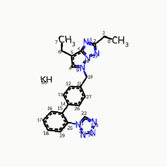 CCc1nc2c(CC)cn(Cc3ccc(-c4ccccc4-n4cnnn4)cc3)n2n1.[KH]